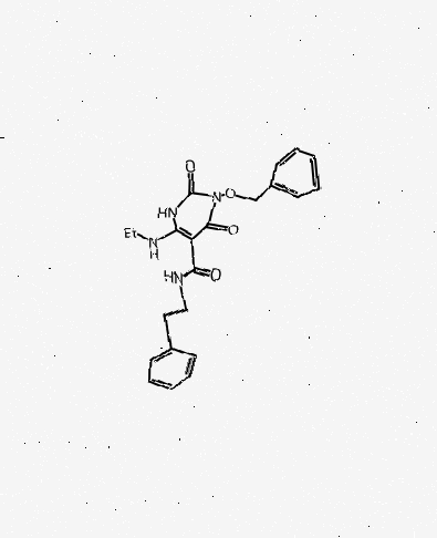 CCNc1[nH]c(=O)n(OCc2ccccc2)c(=O)c1C(=O)NCCc1ccccc1